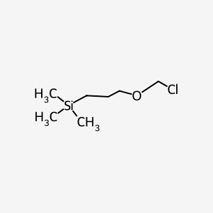 C[Si](C)(C)CCCOCCl